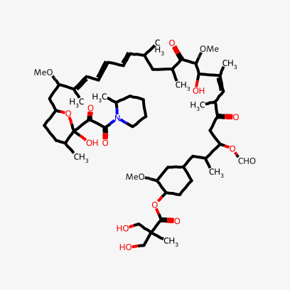 COC(CC1CCC(C)C(O)(C(=O)C(=O)N2CCCCC2C)O1)/C(C)=C/C=C/C=C/C(C)CC(C)C(=O)C(OC)C(O)/C(C)=C\C(C)C(=O)CC(OC=O)C(C)CC1CCC(OC(=O)C(C)(CO)CO)C(OC)C1